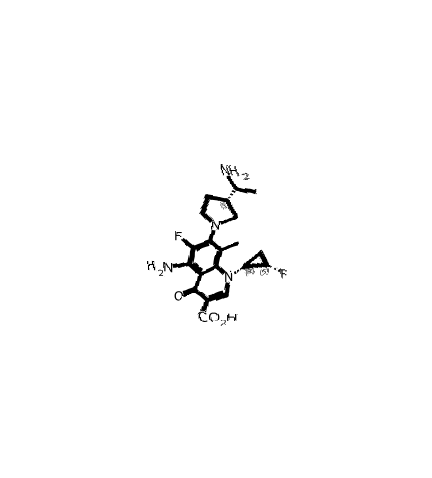 Cc1c(N2CC[C@H](C(C)N)C2)c(F)c(N)c2c(=O)c(C(=O)O)cn([C@@H]3C[C@@H]3F)c12